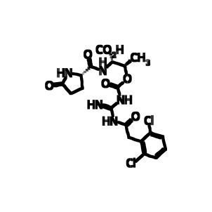 C[C@@H](OC(=O)NC(=N)NC(=O)Cc1c(Cl)cccc1Cl)[C@H](NC(=O)[C@@H]1CCC(=O)N1)C(=O)O